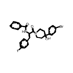 O=C(N/C(=C\c1ccc(F)cc1)C(=O)N1CCC(O)(c2ccc(Br)cc2)CC1)c1ccccc1